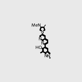 CN[C@H]1CN(c2cnc3nc(-c4cc5cn(C)nc5c(C)c4O)ccc3c2)C[C@@H]1C